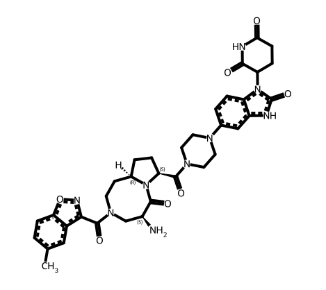 Cc1ccc2onc(C(=O)N3CC[C@H]4CC[C@@H](C(=O)N5CCN(c6ccc7c(c6)[nH]c(=O)n7C6CCC(=O)NC6=O)CC5)N4C(=O)[C@@H](N)C3)c2c1